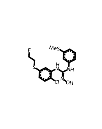 CSc1cccc(N/C(=N\O)Nc2cc(SCCF)ccc2Cl)c1